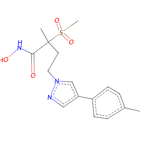 Cc1ccc(-c2cnn(CCC(C)(C(=O)NO)S(C)(=O)=O)c2)cc1